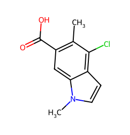 Cc1c(C(=O)O)cc2c(ccn2C)c1Cl